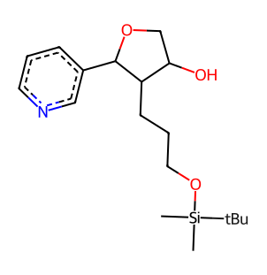 CC(C)(C)[Si](C)(C)OCCCC1C(O)COC1c1cccnc1